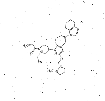 C=CC(=O)N1CCN(c2nc(OC[C@@H]3CCCN3C)nc3c2CCCN(c2cccc4c2CCCC4)C3)C[C@@H]1CC#N